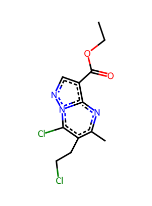 CCOC(=O)c1cnn2c(Cl)c(CCCl)c(C)nc12